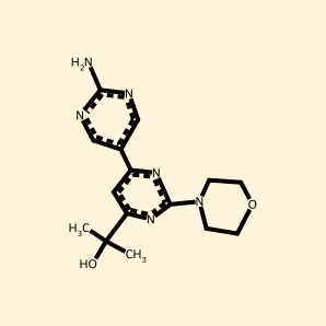 CC(C)(O)c1cc(-c2cnc(N)nc2)nc(N2CCOCC2)n1